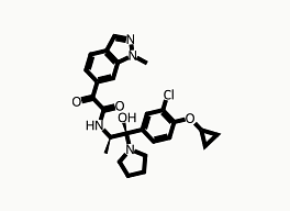 C[C@@H](NC(=O)C(=O)c1ccc2cnn(C)c2c1)[C@](O)(c1ccc(OC2CC2)c(Cl)c1)N1CCCC1